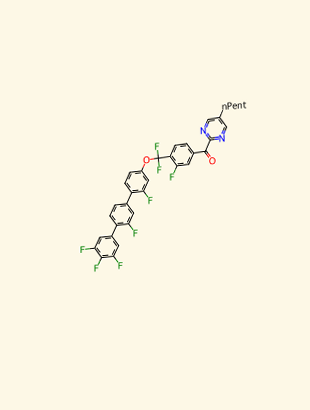 CCCCCc1cnc(C(=O)c2ccc(C(F)(F)Oc3ccc(-c4ccc(-c5cc(F)c(F)c(F)c5)c(F)c4)c(F)c3)c(F)c2)nc1